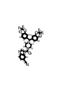 N#Cc1ccc2nnn(C(=O)N3CCN(C(c4ccc5c(c4)OC(F)(F)O5)c4ccc5c(c4)OC(F)(F)O5)CC3)c2c1